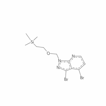 C[Si](C)(C)CCOCn1nc(Br)c2c(Br)ccnc21